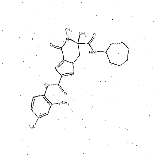 Cc1ccc(NC(=O)c2cc3n(n2)CC(C)(C(=O)NC2CCCCCC2)N(C)C3=O)c(C)c1